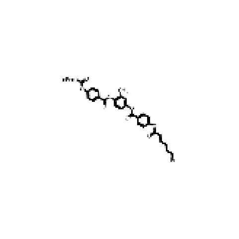 CCCCCC(=O)Oc1ccc(C(=O)Oc2ccc(OC(=O)c3ccc(OC(=O)CCCCCBr)cc3)cc2C)cc1